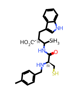 Cc1ccc(CN[C@H](CS)C(=O)NC([SiH3])[C@@H](Cc2c[nH]c3ccccc23)C(=O)O)cc1